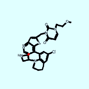 COCCn1ccc(=O)n(Cc2cc3nccc(-c4cc(Cl)cc5c4N(C4CNC4)CCC5)c3s2)c1=O